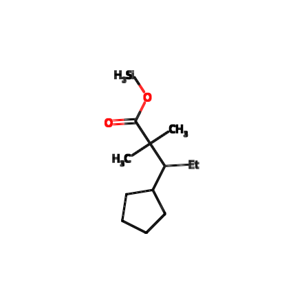 CCC(C1CCCC1)C(C)(C)C(=O)O[SiH3]